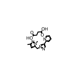 Cc1cc(Cn2cc(-c3ccccn3)cn2)n(C)n1.O=C(O)CCC(=O)O